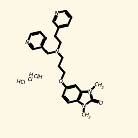 Cl.Cl.Cl.Cn1c(=O)n(C)c2cc(OCCCN(CCc3cccnc3)Cc3cccnc3)ccc21